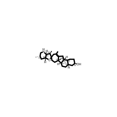 CC1=C2C[C@H]3[C@@H](CC[C@@H]4C[C@H](O)CC[C@@]43C)[C@@H]2CCC2(C1)O[C@@H]1C[C@H](C)CN[C@H]1[C@H]2C